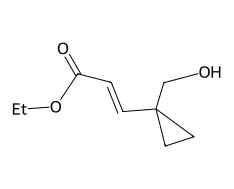 CCOC(=O)C=CC1(CO)CC1